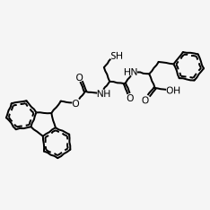 O=C(NC(CS)C(=O)NC(Cc1ccccc1)C(=O)O)OCC1c2ccccc2-c2ccccc21